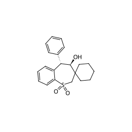 O=S1(=O)CC2(CCCCC2)[C@H](O)[C@@H](c2ccccc2)c2ccccc21